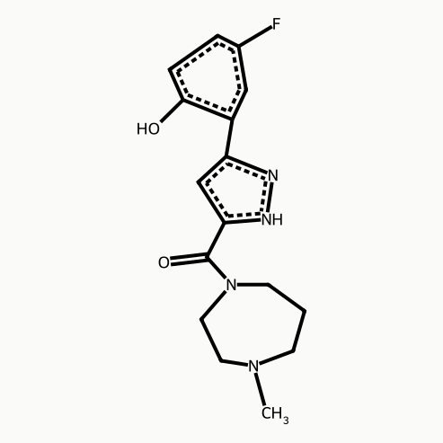 CN1CCCN(C(=O)c2cc(-c3cc(F)ccc3O)n[nH]2)CC1